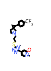 Cn1c(SCCCN2CCC3(CC3c3ccc(C(F)(F)F)cc3)C2)nnc1-c1ccn(C)c(=O)c1